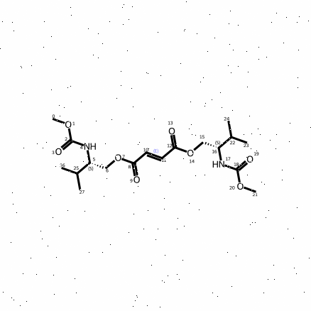 COC(=O)N[C@H](COC(=O)/C=C/C(=O)OC[C@@H](NC(=O)OC)C(C)C)C(C)C